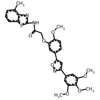 COc1ccc(-c2cc(-c3cc(OC)c(OC)c(OC)c3)no2)cc1OCC(=O)Nc1nc2c(C)cccc2s1